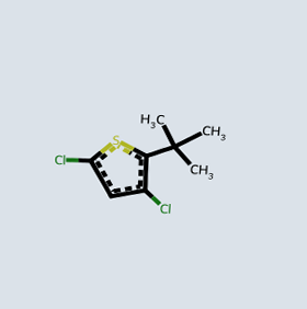 CC(C)(C)c1sc(Cl)cc1Cl